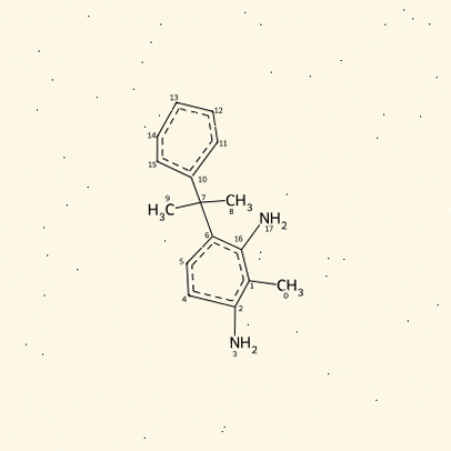 Cc1c(N)ccc(C(C)(C)c2ccccc2)c1N